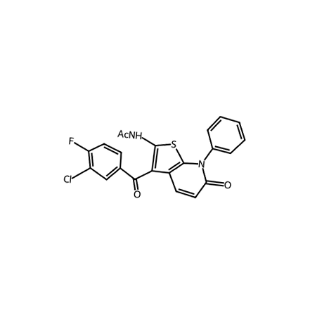 CC(=O)Nc1sc2c(ccc(=O)n2-c2ccccc2)c1C(=O)c1ccc(F)c(Cl)c1